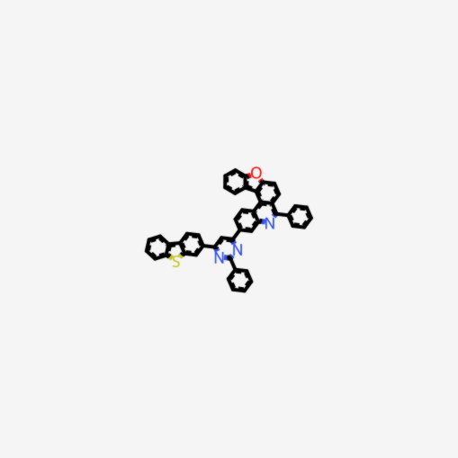 c1ccc(-c2nc(-c3ccc4c(c3)nc(-c3ccccc3)c3ccc5oc6ccccc6c5c34)cc(-c3ccc4c(c3)sc3ccccc34)n2)cc1